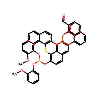 COc1ccccc1OP(Oc1ccccc1OC)Oc1ccc2ccccc2c1Sc1c(OP(Oc2ccccc2C=O)Oc2ccccc2C=O)ccc2ccccc12